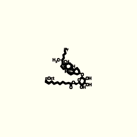 CCCCCCCC/C=C\CCCCCCCC(=O)OC[C@H]1O[C@@H](O[C@H]2CC[C@@]3(C)C(=CC[C@H]4[C@@H]5CC[C@H]([C@H](C)CCCC(C)C)[C@@]5(C)CC[C@@H]43)C2)[C@H](O)[C@@H](O)[C@@H]1O